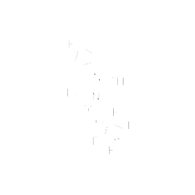 CC1CN(C(=O)COc2c(F)c(F)cc(F)c2F)C(C)CN1Cc1ccc(F)cc1